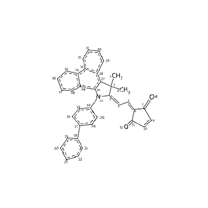 CC1(C)/C(=C\C=C2C(=O)C=CC2=O)N(c2ccc(-c3ccccc3)cc2)c2c1c1ccccc1c1ccccc21